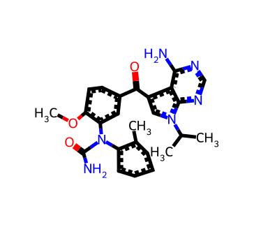 COc1ccc(C(=O)c2cn(C(C)C)c3ncnc(N)c23)cc1N(C(N)=O)c1ccccc1C